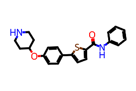 O=C(Nc1ccccc1)c1ccc(-c2ccc(OC3CCNCC3)cc2)s1